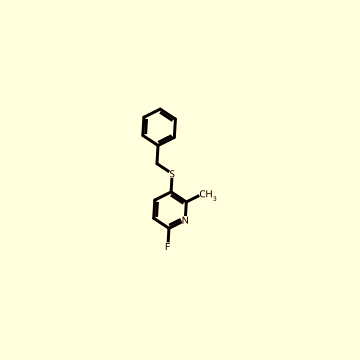 Cc1nc(F)ccc1SCc1ccccc1